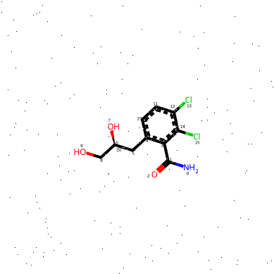 NC(=O)c1c([CH][C@H](O)CO)ccc(Cl)c1Cl